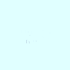 CC(C)OC(C(=O)O)c1ccccc1